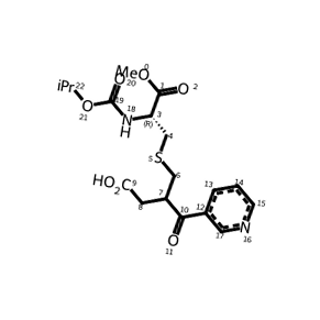 COC(=O)[C@H](CSCC(CC(=O)O)C(=O)c1cccnc1)NC(=O)OC(C)C